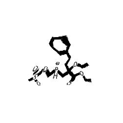 CCOC(=O)C(CCc1ccccc1)(C[PH](=O)COS(C)(=O)=O)OCC